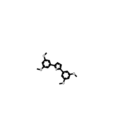 COc1cc(OC)cc(-c2ccc(-c3cc(OC)cc(OC)c3)s2)c1